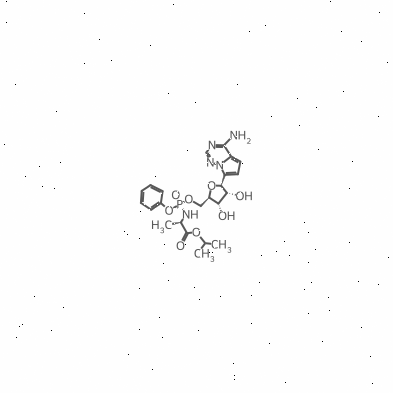 CC(C)OC(=O)[C@@H](C)NP(=O)(OC[C@H]1O[C@@H](c2ccc3c(N)ncnn23)[C@H](O)[C@@H]1O)Oc1ccccc1